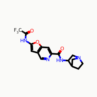 O=C(NC1CN2CCC1C2)c1cc2oc(NC(=O)C(F)(F)F)cc2cn1